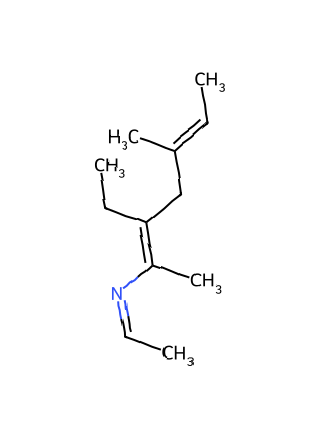 C/C=N\C(C)=C(/CC)C/C(C)=C/C